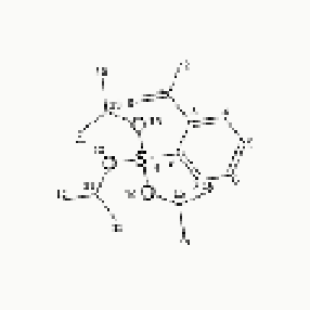 C=C(C)c1ccccc1[Si](OC(C)C)(OC(C)C)OC(C)C